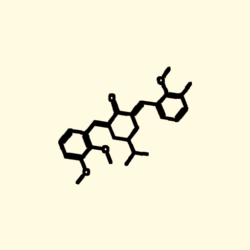 COc1cccc(/C=C2\CC(C(C)C)C/C(=C\c3cccc(C)c3OC)C2=O)c1OC